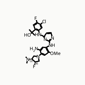 COc1cc(N2C[C@@H](F)[C@@H](N(C)C)C2)c(N)cc1Nc1nccc(Nc2cc(Cl)c(F)cc2C(C)(C)O)n1